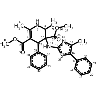 COC(=O)C1=C(C)NC(C)C(Nc2nc(C)c(-c3ccccc3)s2)(C(=O)OC)C1c1ccccc1